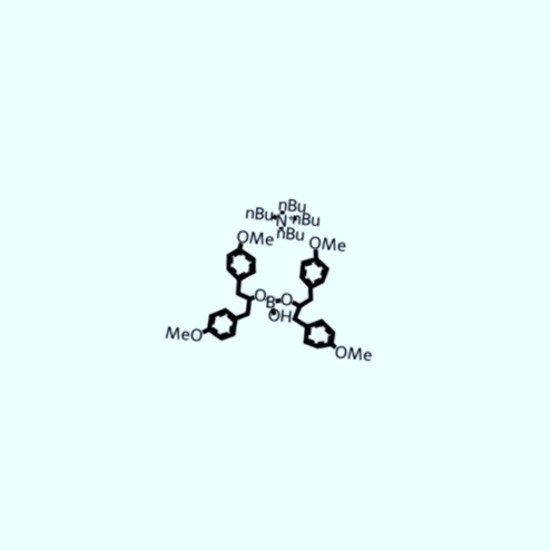 CCCC[N+](CCCC)(CCCC)CCCC.COc1ccc(CC(Cc2ccc(OC)cc2)OB(O)OC(Cc2ccc(OC)cc2)Cc2ccc(OC)cc2)cc1